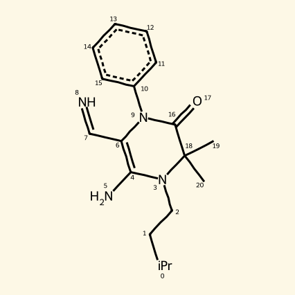 CC(C)CCN1C(N)=C(C=N)N(c2ccccc2)C(=O)C1(C)C